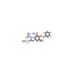 CCC(=O)NC(=Cc1cc(C)c(OCc2ccccc2)c(CC)c1)C(=O)O